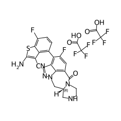 N#Cc1c(N)sc2c(F)ccc(-c3c(F)cc4c5c3cnn5C[C@H]3CNCCN3C4=O)c12.O=C(O)C(F)(F)F.O=C(O)C(F)(F)F